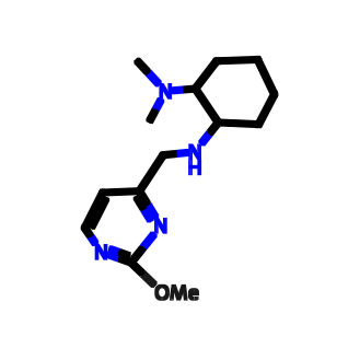 COc1nccc(CNC2CCCCC2N(C)C)n1